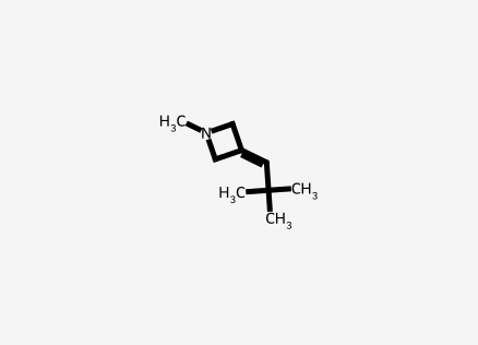 CN1CC(=CC(C)(C)C)C1